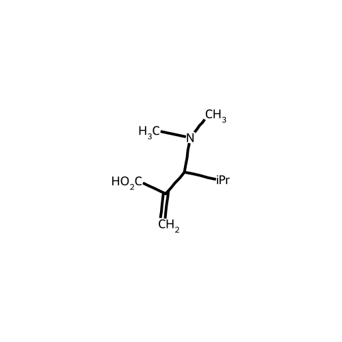 C=C(C(=O)O)C(C(C)C)N(C)C